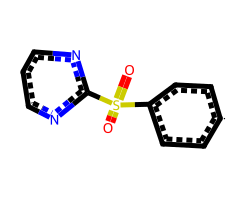 O=S(=O)(c1cc[c]cc1)c1ncccn1